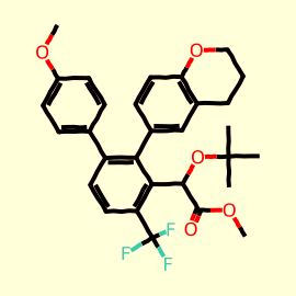 COC(=O)C(OC(C)(C)C)c1c(C(F)(F)F)ccc(-c2ccc(OC)cc2)c1-c1ccc2c(c1)CCCO2